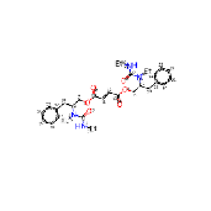 CCNC(=O)N(CC)[C@H](COC(=O)/C=C/C(=O)OC[C@H](Cc1ccccc1)N(CC)C(=O)NCC)Cc1ccccc1